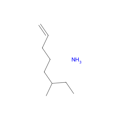 C=CCCCC(C)CC.N